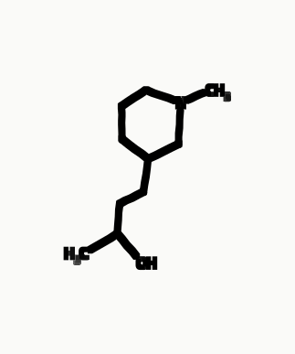 CC(O)CCC1CCCN(C)C1